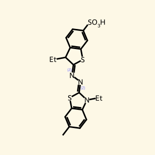 CCC1/C(=N/N=c2\sc3cc(C)ccc3n2CC)Sc2cc(S(=O)(=O)O)ccc21